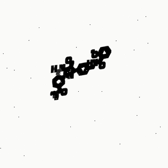 COc1ccccc1C(=O)NCc1ccc(-c2nn(C3CCCC(C(=O)N(C)C)C3)c(N)c2C=O)cc1